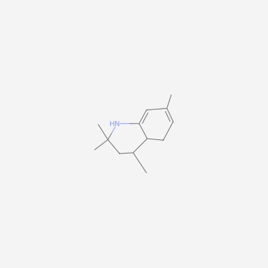 CC1=CCC2C(=C1)NC(C)(C)CC2C